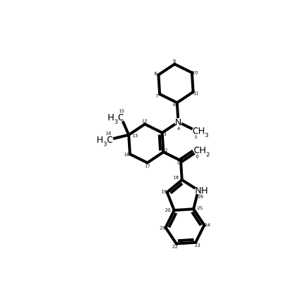 C=C(C1=C(N(C)C2CCCCC2)CC(C)(C)CC1)c1cc2ccccc2[nH]1